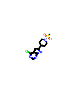 CS(=O)(=O)N1CC=C(c2cc3c(Cl)ncnc3[nH]2)CC1